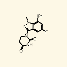 CC(C)c1cc(F)cc2c(N3CCC(=O)NC3=O)nn(C)c12